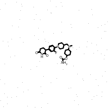 CN(CC1CCN(c2ccc(C3CCC(=O)NC3=O)cc2F)CC1)C1CCC(OC(N)=O)CC1